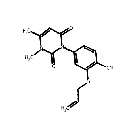 C=CCOc1cc(-n2c(=O)cc(C(F)(F)F)n(C)c2=O)ccc1C#N